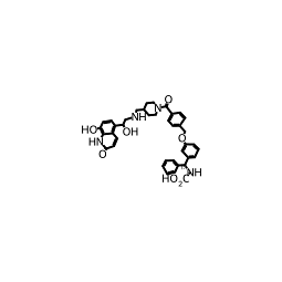 O=C(O)N[C@@H](c1ccccc1)c1cccc(OCc2ccc(C(=O)N3CCC(CNCC(O)c4ccc(O)c5[nH]c(=O)ccc45)CC3)cc2)c1